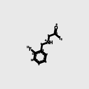 O=C(I)CNCc1ccccc1F